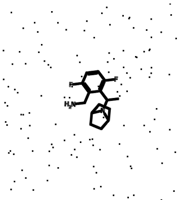 CC(c1c(F)ccc(F)c1CN)N1C2CCC1CC2